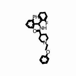 O=C(NC(C1=CCCC=C1F)c1ccccc1P)C1CCN(CCOc2ccccc2)CC1